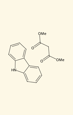 COC(=O)CC(=O)OC.c1ccc2c(c1)[nH]c1ccccc12